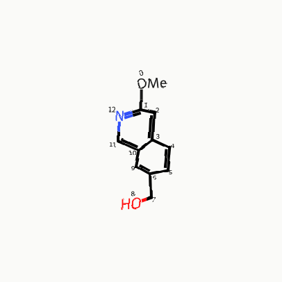 COc1cc2ccc(CO)cc2cn1